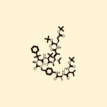 C/C(=C\[C@H](C(C)C)N(C)C(=O)[C@@H](NC(=O)[C@@H](N(C)C(=O)OCc1ccc(NC(=O)[C@H](C)NC(=O)[C@@H](NC(=O)OC(C)(C)C)C(C)C)cc1)C(C)(C)c1ccccc1)C(C)(C)C)C(=O)N[C@H](CCC(=O)OC(C)(C)C)C(=O)OC(C)(C)C